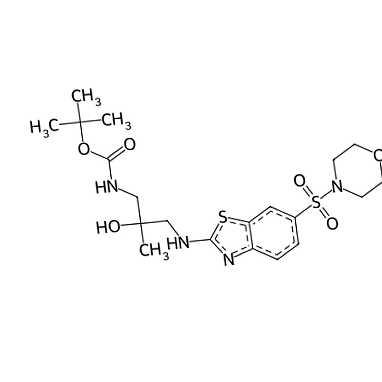 CC(O)(CNC(=O)OC(C)(C)C)CNc1nc2ccc(S(=O)(=O)N3CCOCC3)cc2s1